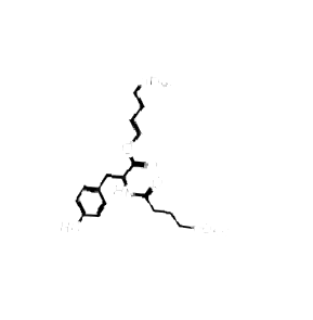 CCCCCCCCCCCCCCOC(=O)C(Cc1ccc(O)cc1)NC(=O)CCCCCCCCCCCCC